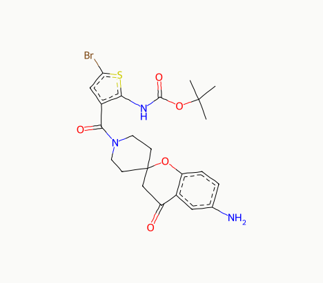 CC(C)(C)OC(=O)Nc1sc(Br)cc1C(=O)N1CCC2(CC1)CC(=O)c1cc(N)ccc1O2